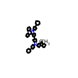 CC1(C)C2=C(C=CCC2)c2ccc(N(c3ccc(C4=CC=CCC=C4)cc3)C3C=CC(c4ccc5c(c4)c(-c4ccccc4)c(-c4ccccc4)n5-c4ccc(C5=CC=CCC=C5)cc4)=CC3)cc21